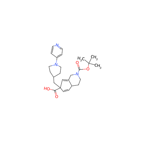 CC(C)(C)OC(=O)N1CCC2C=CC(CC3CCN(c4ccncc4)CC3)(C(=O)O)C=C2C1